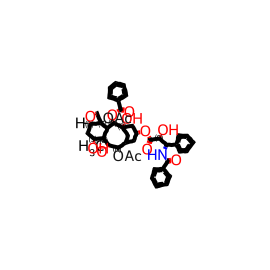 CC(=O)O[C@H]1C(=O)[C@@]2(C)C([C@@H](OC(=O)c3ccccc3)[C@]3(O)CC(OC(=O)[C@@H](O)C(NC(=O)c4ccccc4)c4ccccc4)CC1C3)[C@]1(OC(C)=O)CO[C@@H]1C[C@@H]2O